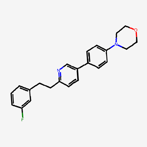 Fc1cccc(CCc2ccc(-c3ccc(N4CCOCC4)cc3)cn2)c1